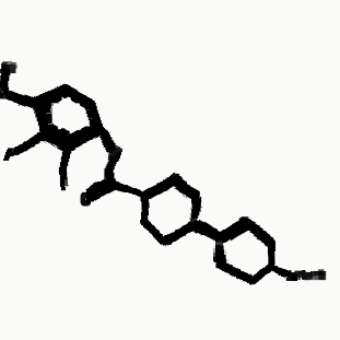 CCCCC[C@H]1CC[C@H]([C@H]2CC[C@H](C(=O)Oc3ccc(OCC)c(F)c3F)CC2)CC1